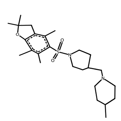 Cc1c(C)c(S(=O)(=O)N2CCC(CN3CCC(C)CC3)CC2)c(C)c2c1OC(C)(C)C2